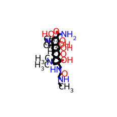 CCNCC(=O)NCc1cc(N(C)C)c2c(c1O)C(=O)C1=C(O)[C@]3(O)C(=O)C(C(N)=O)=C(O)C(N(C)C)[C@@H]3C[C@@H]1C2